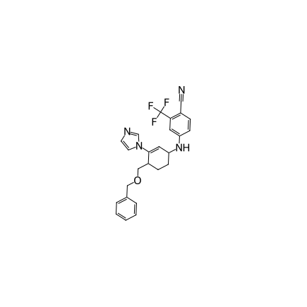 N#Cc1ccc(NC2C=C(n3ccnc3)C(COCc3ccccc3)CC2)cc1C(F)(F)F